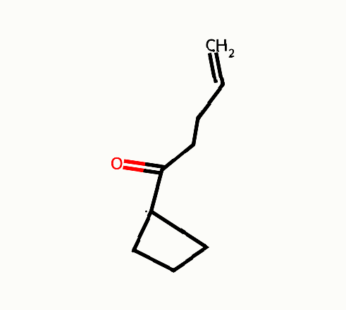 C=CCCC(=O)[C]1CCC1